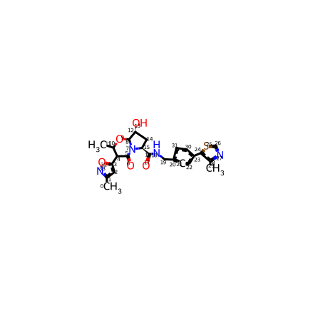 Cc1cc(C2C(=O)N3C(OC2C)[C@H](O)C[C@H]3C(=O)NCc2ccc(-c3scnc3C)cc2)on1